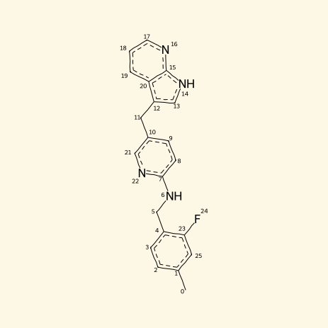 Cc1ccc(CNc2ccc(Cc3c[nH]c4ncccc34)cn2)c(F)c1